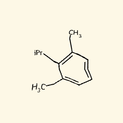 Cc1cccc(C)c1C(C)C